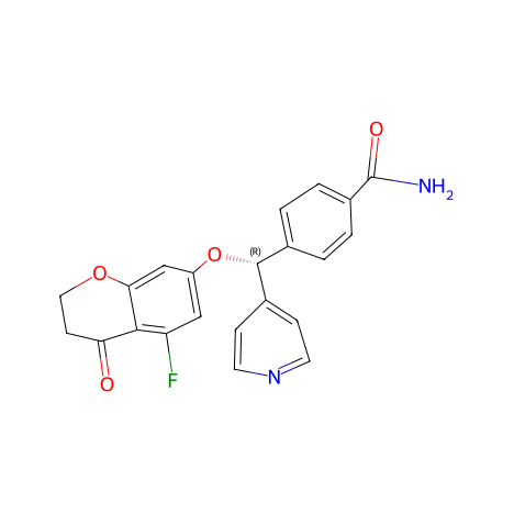 NC(=O)c1ccc([C@@H](Oc2cc(F)c3c(c2)OCCC3=O)c2ccncc2)cc1